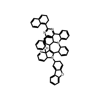 CC12N=CC=CC1N(C1C=c3c(oc4ccccc34)=CC1)C1=C2C2C=CC=CC2N(c2ccccc2-c2cc(-c3ccccc3)nc(C3=c4ccccc4=CCC3)n2)C2C=CC=CC12